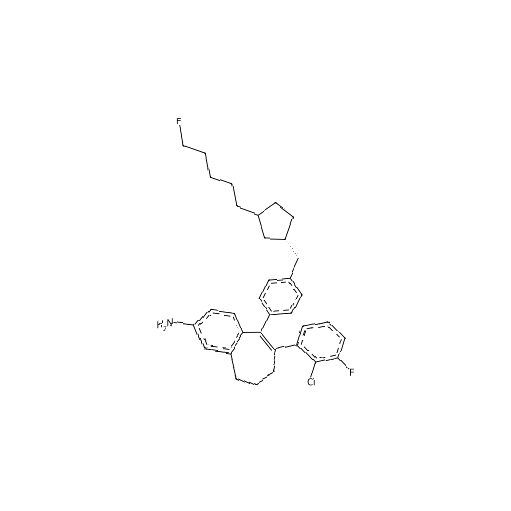 Nc1ccc2c(c1)CCCC(c1cccc(F)c1Cl)=C2c1ccc(C[C@H]2CCC(CCCCCF)C2)cc1